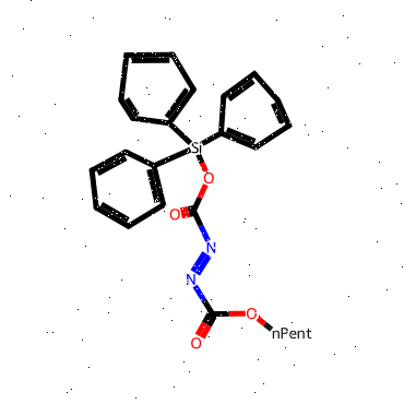 CCCCCOC(=O)N=NC(=O)O[Si](c1ccccc1)(c1ccccc1)c1ccccc1